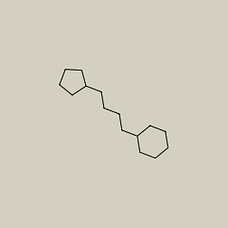 C1CCC(CCCCC2CCCC2)CC1